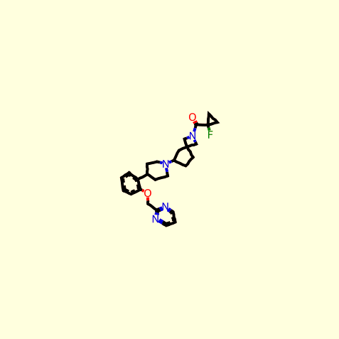 O=C(N1CC2(CCC(N3CCC(c4ccccc4OCc4ncccn4)CC3)C2)C1)C1(F)CC1